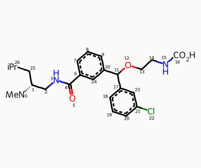 CN[C@@H](CNC(=O)c1cccc(C(OCCNC(=O)O)c2cccc(Cl)c2)c1)CC(C)C